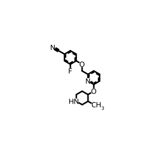 CC1CNCCC1Oc1cccc(COc2ccc(C#N)cc2F)n1